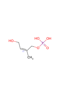 C/C(=C/CO)COP(=O)(O)O